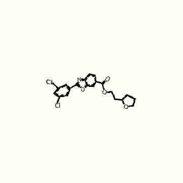 O=C(OCCC1CCCO1)c1ccc2nc(-c3cc(Cl)cc(Cl)c3)oc2c1